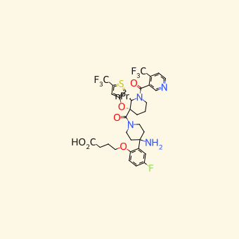 CCC[C@H]1N(C(=O)c2cnccc2C(F)(F)F)CCC[C@@]1(Oc1csc(C(F)(F)F)c1)C(=O)N1CCC(N)(c2cc(F)ccc2OCCCC(=O)O)CC1